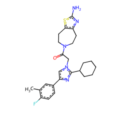 Cc1cc(-c2cn(CC(=O)N3CCc4nc(N)sc4CC3)c(C3CCCCC3)n2)ccc1F